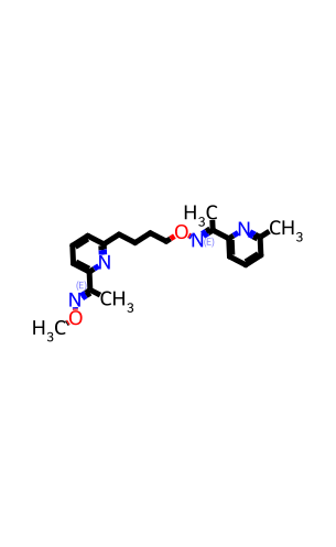 CO/N=C(\C)c1cccc(CCCCO/N=C(\C)c2cccc(C)n2)n1